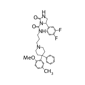 COc1ccc(C)cc1C1(c2ccccc2)CCN(CCCNC(=O)N2C(=O)NCC2c2ccc(F)c(F)c2)CC1